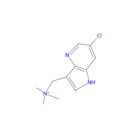 C[N+](C)(C)Cc1c[nH]c2cc(Cl)cnc12